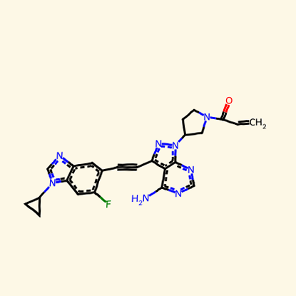 C=CC(=O)N1CCC(n2nc(C#Cc3cc4ncn(C5CC5)c4cc3F)c3c(N)ncnc32)C1